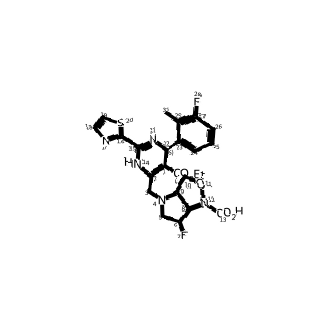 CCOC(=O)C1=C(CN2CC(F)C3C2CON3C(=O)O)NC(c2nccs2)=N[C@H]1c1cccc(F)c1C